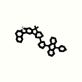 CC1(C)c2ccc(-c3cccc(-c4c5ccccc5c(-c5ccccc5)c5ccccc45)c3)cc2-c2cc3c(cc21)sc1ccc2ccccc2c13